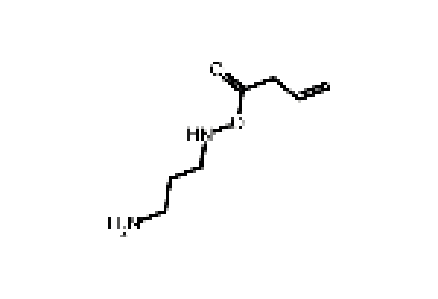 C=CCC(=O)ONCCCN